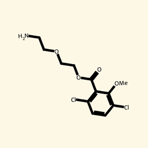 COc1c(Cl)ccc(Cl)c1C(=O)OCCOCCN